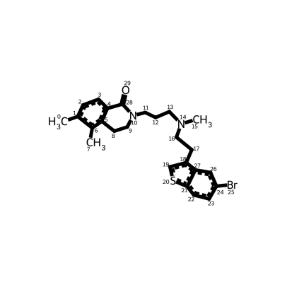 Cc1ccc2c(c1C)CCN(CCCN(C)CCc1csc3ccc(Br)cc13)C2=O